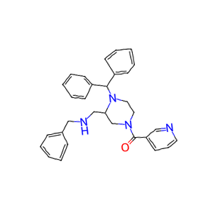 O=C(c1cccnc1)N1CCN(C(c2ccccc2)c2ccccc2)C(CNCc2ccccc2)C1